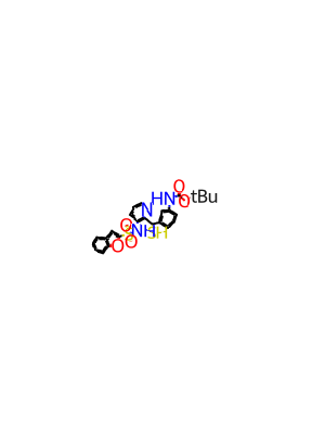 CC(C)(C)OC(=O)Nc1cccc(C(S)c2ncccc2NS(=O)(=O)c2cc3ccccc3o2)c1